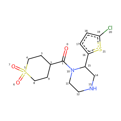 O=C(C1CCS(=O)(=O)CC1)N1CCNCC1c1ccc(Cl)s1